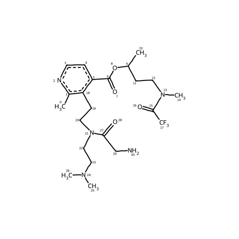 Cc1nccc(C(=O)OC(C)CCN(C)C(=O)C(F)(F)F)c1CCN(CCN(C)C)C(=O)CN